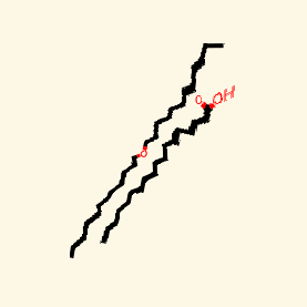 CCCCCCCCCCCCCCCCCC(=O)O.CCCCCCCCCCCCOCCCCCCCCCCCC